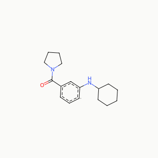 O=C(c1cc[c]c(NC2CCCCC2)c1)N1CCCC1